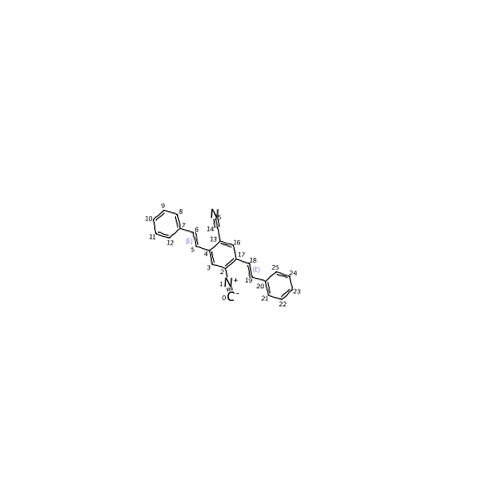 [C-]#[N+]c1cc(/C=C/c2ccccc2)c(C#N)cc1/C=C/c1ccccc1